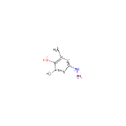 Cc1cc(NP)cc(C)c1O